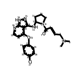 CN(C)CC=CC(=O)N1CCCC1Nc1n[nH]c2nccc(Oc3ccc(Cl)cc3)c12